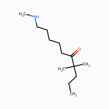 CCCC(C)(C)C(=O)CCCCCNC